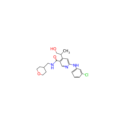 CC(CO)c1cc(Nc2cccc(Cl)c2)ncc1C(=O)NCC1CCOCC1